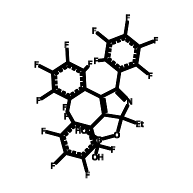 CCC1(OB(O)O)N=C(c2c(F)c(F)c(F)c(F)c2F)C(c2c(F)c(F)c(F)c(F)c2F)=C1c1c(F)c(F)c(F)c(F)c1F